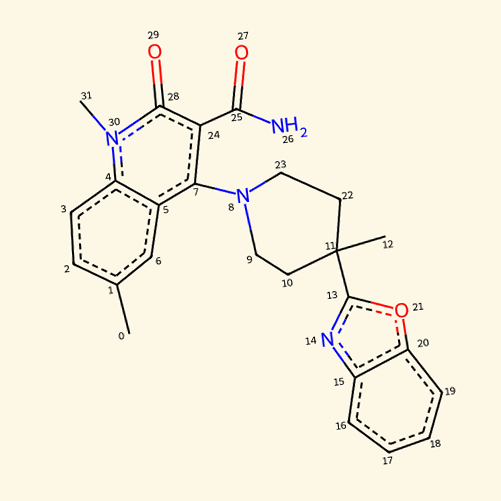 Cc1ccc2c(c1)c(N1CCC(C)(c3nc4ccccc4o3)CC1)c(C(N)=O)c(=O)n2C